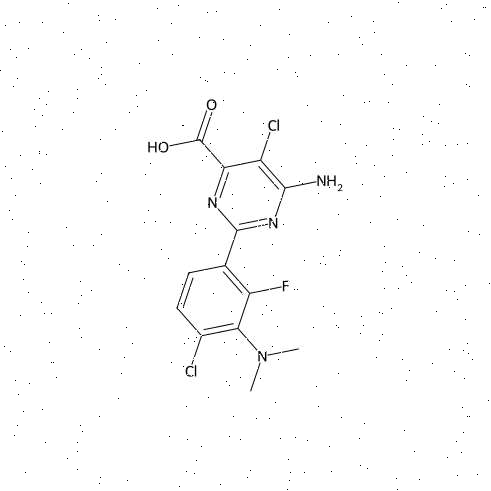 CN(C)c1c(Cl)ccc(-c2nc(N)c(Cl)c(C(=O)O)n2)c1F